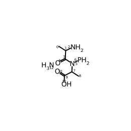 CC(N)C(=O)N(P)C(C)C(=O)O.N